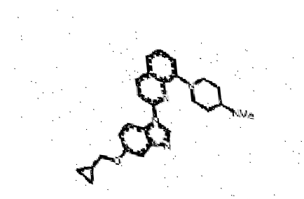 CNC1CCN(c2cccc3ccc(-n4cnc5cc(OCC6CC6)ccc54)nc23)CC1